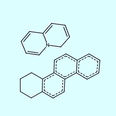 C1=CCN2C=CC=CC2=C1.c1ccc2c(c1)ccc1c3c(ccc12)CCCC3